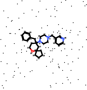 c1ccc(CC2(N3CCN(Cc4cccnc4)CC3)CCOC3(CCCC3)C2)cc1